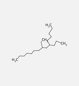 CCCCCCCC([CH]C(CCC)CCCCC)CC